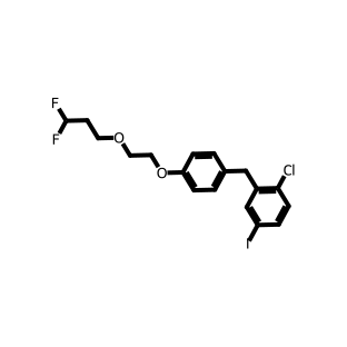 FC(F)CCOCCOc1ccc(Cc2cc(I)ccc2Cl)cc1